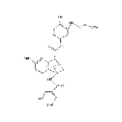 CN/C=C(\C=N)C(=O)NC12CC(C1)N(C(=O)Nc1cc(NCCOC)c(C#N)cn1)c1nc(C=O)ccc12